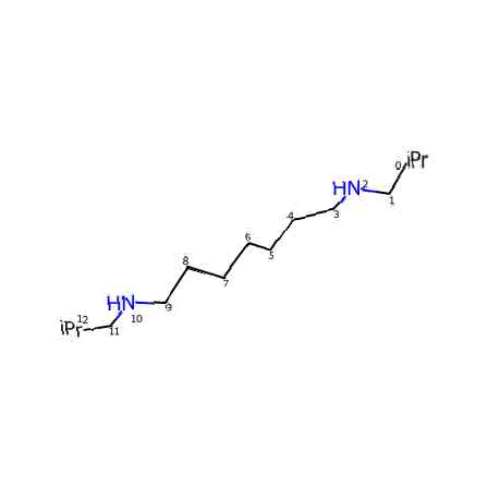 CC(C)CNCCCCCCCNCC(C)C